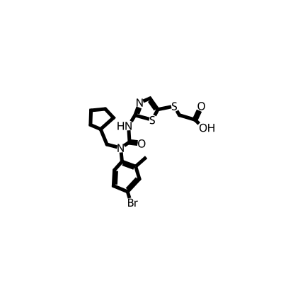 Cc1cc(Br)ccc1N(CC1CCCC1)C(=O)Nc1ncc(SCC(=O)O)s1